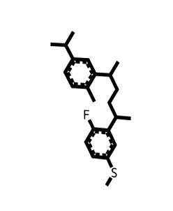 CSc1ccc(F)c(C(C)CCC(C)c2cc(C(C)C)ccc2C)c1